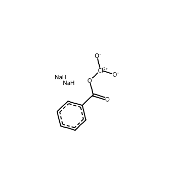 O=C(O[Cl+2]([O-])[O-])c1ccccc1.[NaH].[NaH]